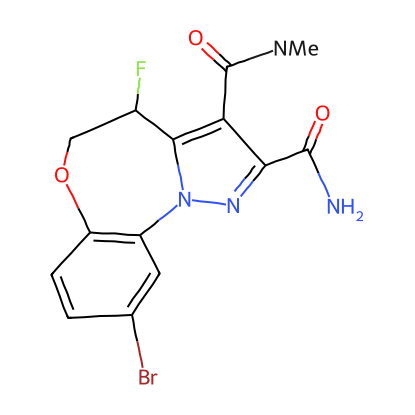 CNC(=O)c1c(C(N)=O)nn2c1C(F)COc1ccc(Br)cc1-2